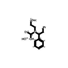 CCCCCCCCCCCCN(C(O)CC)C(CC(C)C)c1ccccc1.Cl